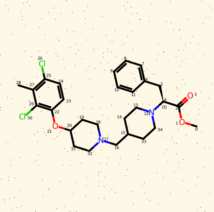 COC(=O)[C@H](Cc1ccccc1)N1CCC(CN2CCC(Oc3ccc(Cl)c(C)c3Cl)CC2)CC1